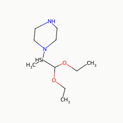 CCOC(OCC)[SiH](C)N1CCNCC1